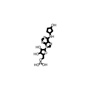 OC1CCC(Nc2ncnc3c2ncn3C2OC(CON(O)O)C(O)C2O)C1